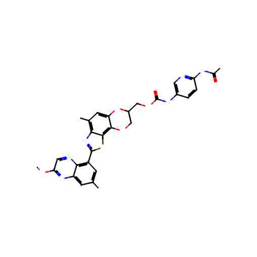 COc1cnc2c(-c3nc4c(C)cc5c(c4s3)OCC(COC(=O)Nc3ccc(NC(C)=O)nc3)O5)cc(C)cc2n1